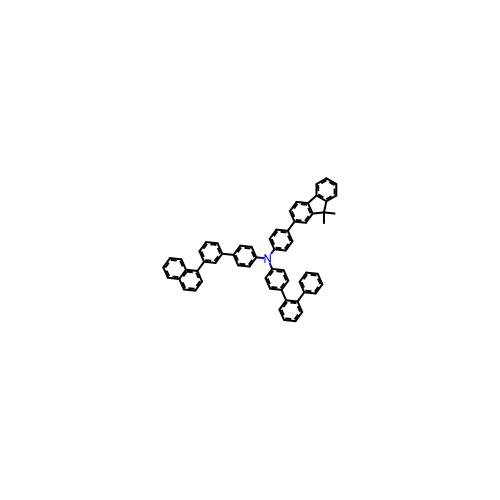 CC1(C)c2ccccc2-c2ccc(-c3ccc(N(c4ccc(-c5cccc(-c6cccc7ccccc67)c5)cc4)c4ccc(-c5ccccc5-c5ccccc5)cc4)cc3)cc21